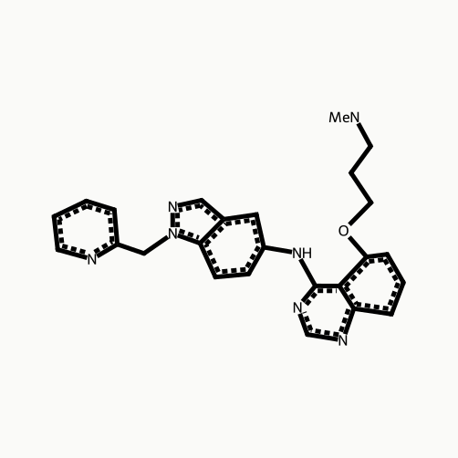 CNCCCOc1cccc2ncnc(Nc3ccc4c(cnn4Cc4ccccn4)c3)c12